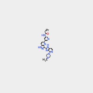 CC(C)CC(=O)Nc1cncc(-c2ccc3[nH]nc(-c4nc5c(N6CCN(C)CC6)nccc5[nH]4)c3n2)c1